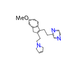 COc1ccc2c(c1)CC(CCN1CC=CC1)=C2CCc1cnccn1